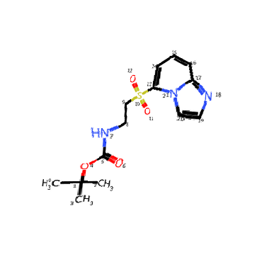 CC(C)(C)OC(=O)NCCS(=O)(=O)c1cccc2nccn12